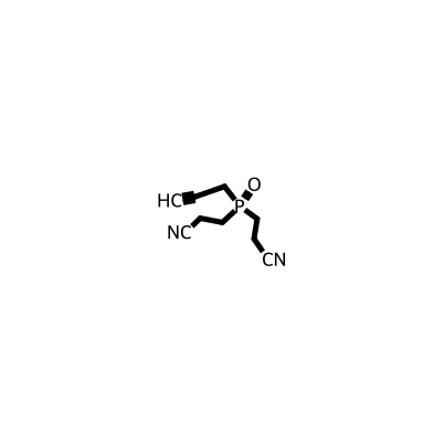 C#CCP(=O)(CCC#N)CCC#N